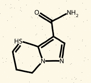 NC(=O)c1cnn2c1[SH]=CCC2